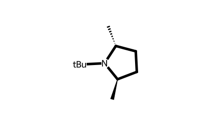 C[C@@H]1CC[C@@H](C)N1C(C)(C)C